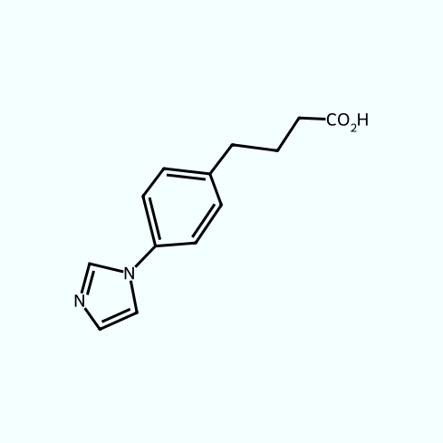 O=C(O)CCCc1ccc(-n2ccnc2)cc1